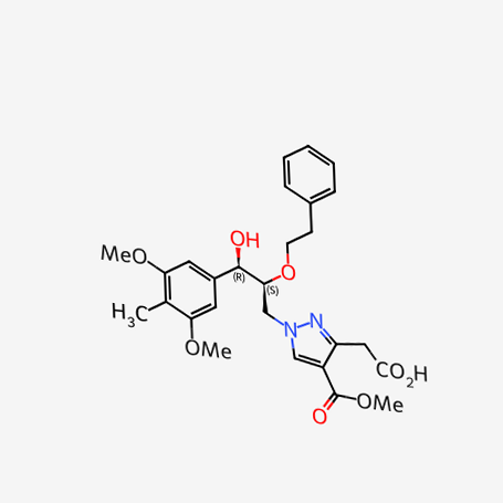 COC(=O)c1cn(C[C@H](OCCc2ccccc2)[C@H](O)c2cc(OC)c(C)c(OC)c2)nc1CC(=O)O